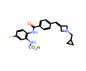 O=C(O)Nc1cc(F)ccc1NC(=O)c1ccc(C=C2CN(CC3CC3)C2)cc1